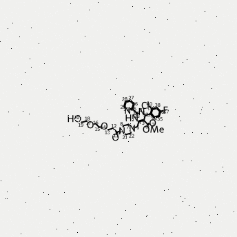 COC(=O)C1=C(CN2CCN(C(=O)CCOCCOCCO)CC2)NC(c2ccccn2)=NC1c1ccc(F)cc1Cl